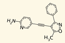 Cc1onc(-c2ccccc2)c1C#Cc1ccc(N)nc1